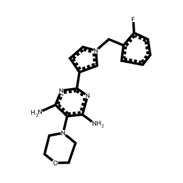 Nc1nc(-c2ccn(Cc3ccccc3F)c2)nc(N)c1N1CCOCC1